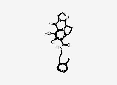 O=C(NCCc1ccccc1F)c1c2n3c(c(O)c1=O)C(=O)N1CCOC1C3CC2